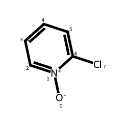 [O-][n+]1c[c]ccc1Cl